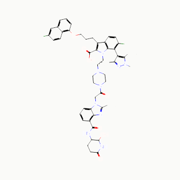 Cc1nn(C)c(C)c1-c1c(Cl)ccc2c(CCCOc3cccc4cc(F)ccc34)c(C(=O)O)n(CCN3CCN(C(=O)Cn4c(C)nc5c(C(=O)NC6CCC(=O)NC6O)cccc54)CC3)c12